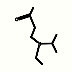 CCN(CCC(C)=O)C(C)C